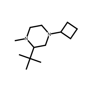 CN1CCN(C2CCC2)CC1C(C)(C)C